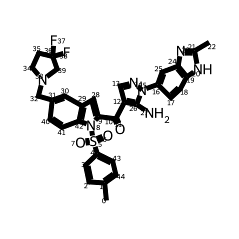 Cc1ccc(S(=O)(=O)n2c(C(=O)c3cnn(-c4ccc5[nH]c(C)nc5c4)c3N)cc3cc(CN4CCC(F)(F)C4)ccc32)cc1